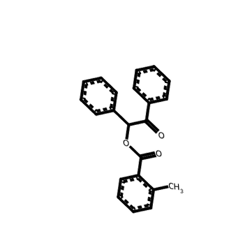 Cc1ccccc1C(=O)OC(C(=O)c1ccccc1)c1ccccc1